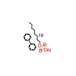 CCCCCCCCOS(=O)(=O)O.I.c1ccc(-c2ccccc2)cc1